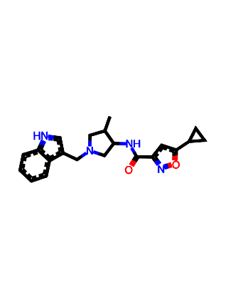 CC1CN(Cc2c[nH]c3ccccc23)CC1NC(=O)c1cc(C2CC2)on1